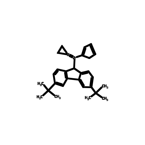 CC(C)(C)c1ccc2c(c1)-c1cc(C(C)(C)C)ccc1[CH]2[Zr]([C]1=CC=CC1)=[Si]1CC1